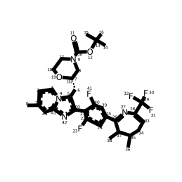 Cc1ccn2c(C[C@H]3CN(C(=O)OC(C)(C)C)CCO3)c(-c3c(F)cc(C4=NC(C(F)(F)F)=CCC(C)C4C)cc3F)nc2c1